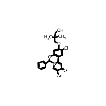 CC(=O)c1cn2c(cc1=O)-c1cc(Cl)c(OCC(C)(C)CO)cc1OC2c1ccccc1